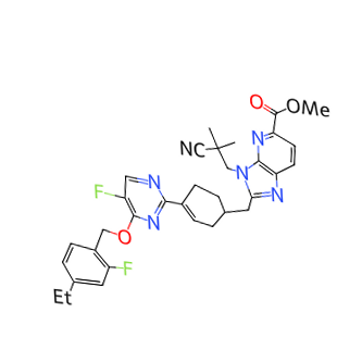 CCc1ccc(COc2nc(C3=CCC(Cc4nc5ccc(C(=O)OC)nc5n4CC(C)(C)C#N)CC3)ncc2F)c(F)c1